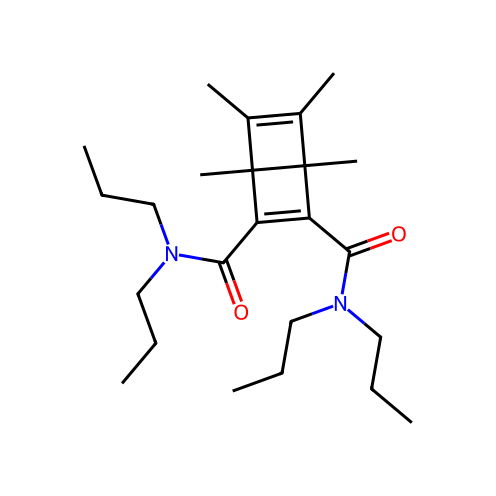 CCCN(CCC)C(=O)C1=C(C(=O)N(CCC)CCC)C2(C)C(C)=C(C)C12C